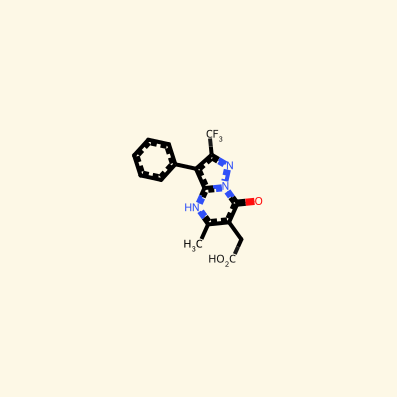 Cc1[nH]c2c(-c3ccccc3)c(C(F)(F)F)nn2c(=O)c1CC(=O)O